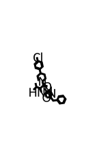 CC(C)C(Nc1nnc(Cc2ccccc2)o1)C(=O)N1CCC(c2ccc(Cl)cc2)CC1